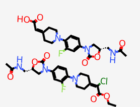 CC(=O)NC[C@H]1CN(c2ccc(N3CCC(=CC(=O)O)CC3)c(F)c2)C(=O)O1.CCOC(=O)C(Cl)=C1CCN(c2ccc(N3C[C@H](CNC(C)=O)OC3=O)cc2F)CC1